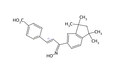 CC1(C)CC(C)(C)c2cc(C(/C=C/c3ccc(C(=O)O)cc3)=NO)ccc21